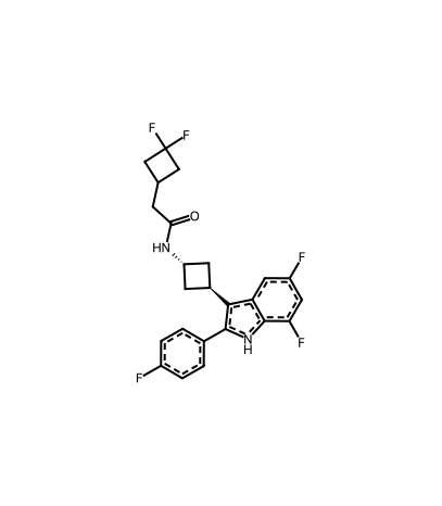 O=C(CC1CC(F)(F)C1)N[C@H]1C[C@H](c2c(-c3ccc(F)cc3)[nH]c3c(F)cc(F)cc32)C1